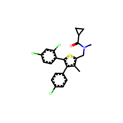 Cc1c(CN(C)C(=O)C2CC2)sc(-c2ccc(Cl)cc2Cl)c1-c1ccc(Cl)cc1